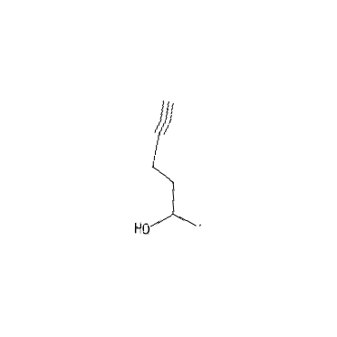 C#CCCC([CH2])O